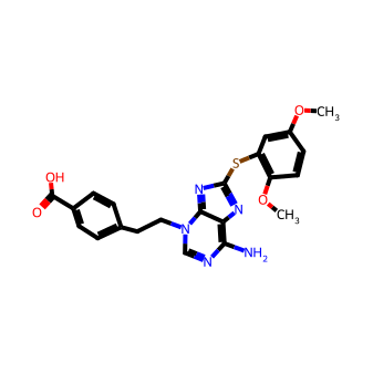 COc1ccc(OC)c(Sc2nc3c(N)ncn(CCc4ccc(C(=O)O)cc4)c-3n2)c1